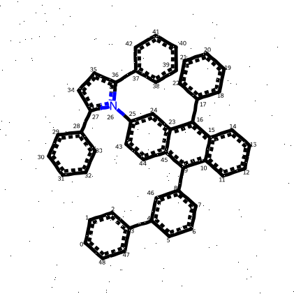 c1ccc(-c2cccc(-c3c4ccccc4c(-c4ccccc4)c4cc(-n5c(-c6ccccc6)ccc5-c5ccccc5)ccc34)c2)cc1